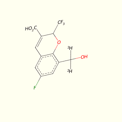 [2H]C([2H])(O)c1cc(F)cc2c1OC(C(F)(F)F)C(C(=O)O)=C2